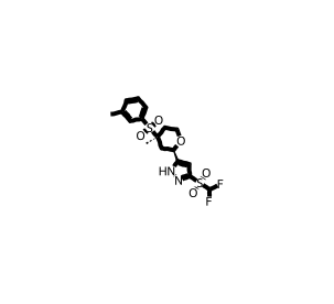 Cc1cccc(S(=O)(=O)[C@@]2(C)CCO[C@@H](c3cc(S(=O)(=O)C(F)F)n[nH]3)C2)c1